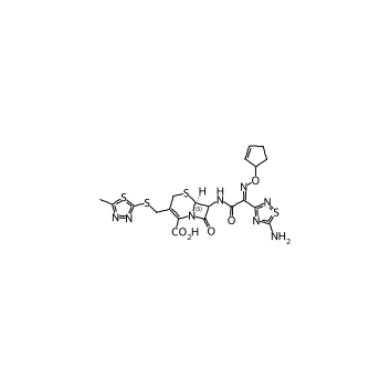 Cc1nnc(SCC2=C(C(=O)O)N3C(=O)C(NC(=O)C(=NOC4C=CCC4)c4nsc(N)n4)[C@@H]3SC2)s1